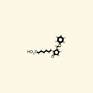 O=C(O)CCCCCC[C@H]1C(=O)CC[C@@H]1COc1ccccc1